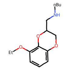 CCCCNCC1COc2cccc(OCC)c2O1